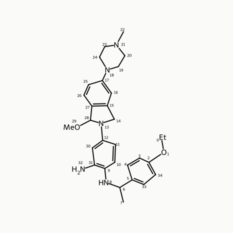 CCOc1ccc(C(C)Nc2ccc(N3Cc4cc(N5CCN(C)CC5)ccc4C3OC)cc2N)cc1